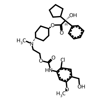 COc1cc(NC(=O)OCCN(C)[C@H]2CC[C@H](OC(=O)[C@](O)(c3ccccc3)C3CCCC3)CC2)c(Cl)cc1CO